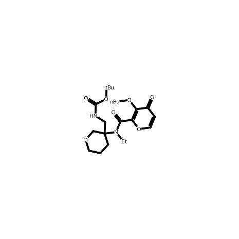 CCCCOc1c(C(=O)N(CC)C2(CNC(=O)OC(C)(C)C)CCCOC2)occc1=O